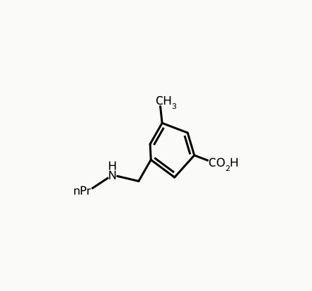 CCCNCc1cc(C)cc(C(=O)O)c1